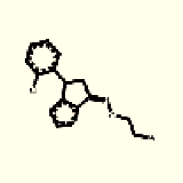 Clc1ccccc1C1CC(=NOCCBr)c2sccc21